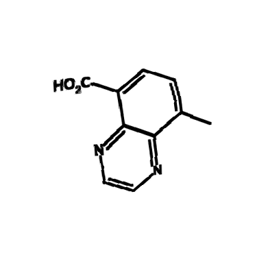 Cc1ccc(C(=O)O)c2nccnc12